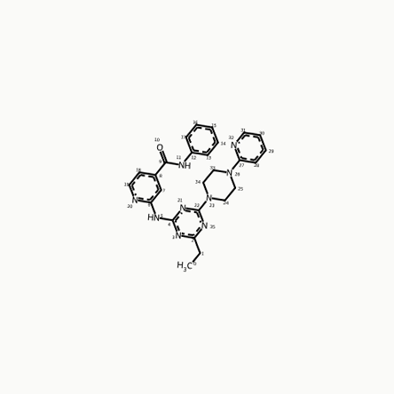 CCc1nc(Nc2cc(C(=O)Nc3ccccc3)ccn2)nc(N2CCN(c3ccccn3)CC2)n1